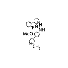 COc1cc(Nc2nc3n(n2)CCCC3c2ccccc2F)ccc1-c1ccnc(C)c1